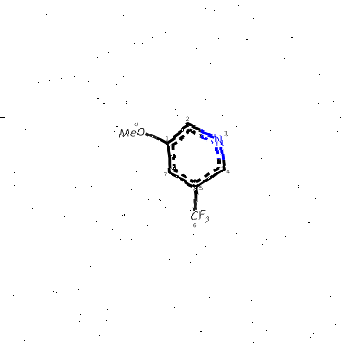 COc1cncc(C(F)(F)F)c1